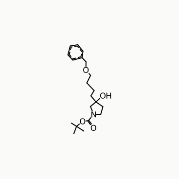 CC(C)(C)OC(=O)N1CCC(O)(CCCCOCc2ccccc2)C1